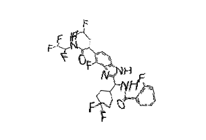 O=C(N[C@H](c1nc2c(F)c([C@@H](CC(F)F)C(=O)NC(F)C(F)F)ccc2[nH]1)C1CCC(F)(F)CC1)c1ccccc1F